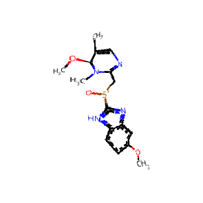 COc1ccc2[nH]c([S+]([O-])CC3=NC=C(C)[C@H](OC)N3C)nc2c1